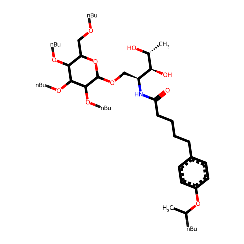 CCCCOCC1OC(OC[C@H](NC(=O)CCCCc2ccc(OC(C)CCCC)cc2)[C@H](O)[C@@H](C)O)C(OCCCC)C(OCCCC)C1OCCCC